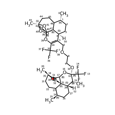 C[C@@H]1CC[C@H]2C(COCCO[C@@]3(C(F)(F)F)O[C@@H]4O[C@]5(C)CCC6[C@H](C)CC[C@@H]([C@H]3C)[C@]64OO5)=C(C(F)(F)F)O[C@@H]3O[C@]4(C)CCC1[C@]32OO4